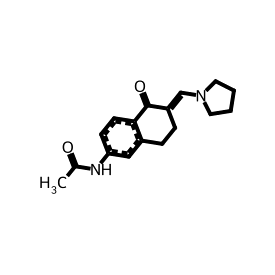 CC(=O)Nc1ccc2c(c1)CCC(=CN1CCCC1)C2=O